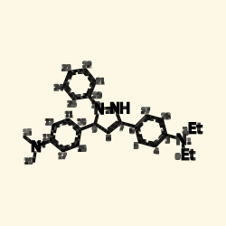 CCN(CC)c1ccc(C2=CC(c3ccc(N(C)C)cc3)N(c3ccccc3)N2)cc1